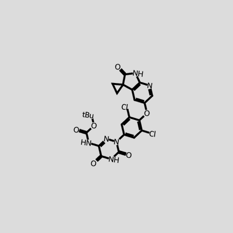 CC(C)(C)OC(=O)Nc1nn(-c2cc(Cl)c(Oc3cnc4c(c3)C3(CC3)C(=O)N4)c(Cl)c2)c(=O)[nH]c1=O